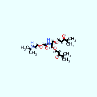 CC(C)NCCOCC(=O)NC(COCCC(=O)C(C)C)COCCC(=O)C(C)C